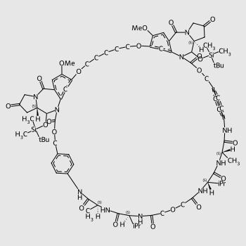 COc1cc2c3cc1OCCCCCOc1cc4c(cc1OC)C(=O)N1CC(=O)C[C@H]1C(O[Si](C)(C)C(C)(C)C)N4C(=O)OCc1ccc(cc1)NC(=O)[C@H](C)NC(=O)[C@H](C(C)C)NC(=O)COCC(=O)N[C@@H](C(C)C)C(=O)N[C@@H](C)C(=O)Nc1ccc(cc1)COC(=O)N3C(O[Si](C)(C)C(C)(C)C)[C@@H]1CC(=O)CN1C2=O